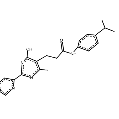 Cc1nc(-c2ccccn2)nc(O)c1CCC(=O)Nc1ccc(C(C)C)cc1